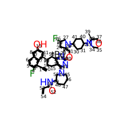 C#Cc1c(F)ccc2cc(O)cc([C@@H]3CCc4c(nc(OC[C@]5(C(C)(C)C)C[C@@H](F)CN5C5CCC(N6CCOC[C@@H]6C)CC5)nc4N4CCCCC(NC(=O)C=C)C4)C3)c12